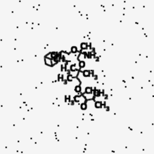 C=C(C)C(=O)C(C)(C)OCC(C)C(C)(C)OCC(C)(N)OCCC1=CC2CC(C1)C2(C)C